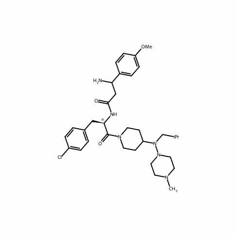 COc1ccc(C(N)CC(=O)N[C@H](Cc2ccc(Cl)cc2)C(=O)N2CCC(N(CC(C)C)N3CCN(C)CC3)CC2)cc1